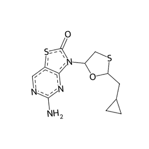 Nc1ncc2sc(=O)n(C3CSC(CC4CC4)O3)c2n1